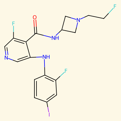 O=C(NC1CN(CCF)C1)c1c(F)cncc1Nc1ccc(I)cc1F